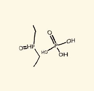 CC[PH](=O)CC.O=P(O)(O)O